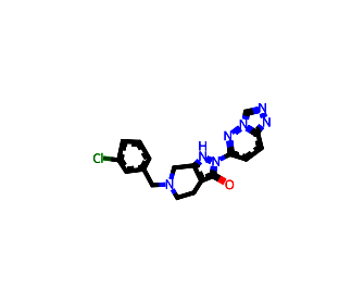 O=c1c2c([nH]n1-c1ccc3nncn3n1)CN(Cc1cccc(Cl)c1)CC2